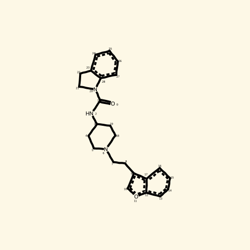 O=C(NC1CCN(CCc2coc3ccccc23)CC1)N1CCc2ccccc21